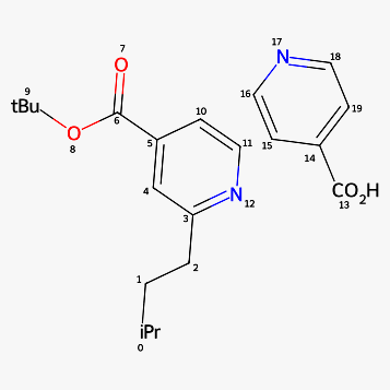 CC(C)CCc1cc(C(=O)OC(C)(C)C)ccn1.O=C(O)c1ccncc1